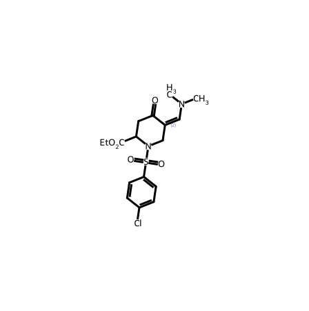 CCOC(=O)C1CC(=O)/C(=C\N(C)C)CN1S(=O)(=O)c1ccc(Cl)cc1